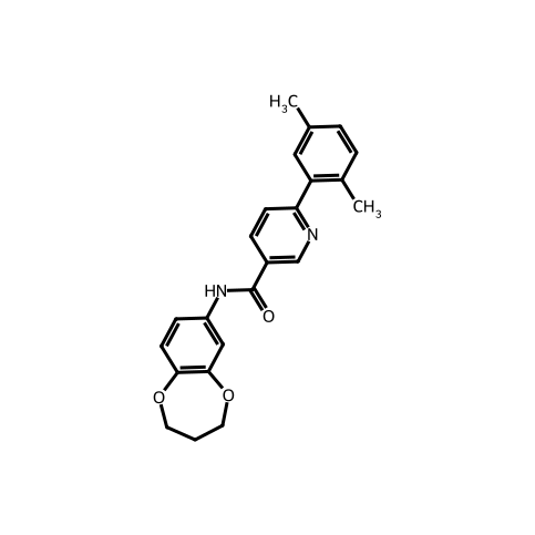 Cc1ccc(C)c(-c2ccc(C(=O)Nc3ccc4c(c3)OCCCO4)cn2)c1